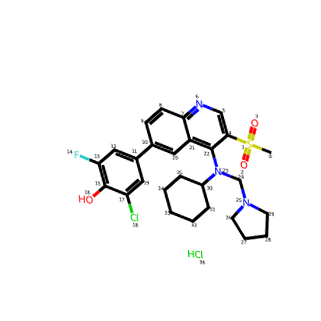 CS(=O)(=O)c1cnc2ccc(-c3cc(F)c(O)c(Cl)c3)cc2c1N(CN1CCCC1)C1CCCCC1.Cl